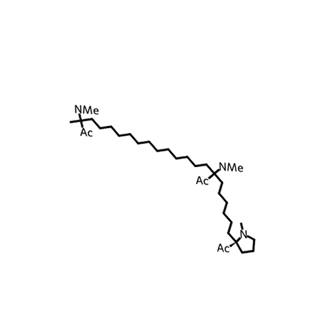 CNC(C)(CCCCCCCCCCCCCC(CCCCCC[C@@]1(C(C)=O)CCCN1C)(NC)C(C)=O)C(C)=O